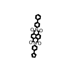 O=C1c2ccc3c4c(ccc(c24)C(=O)N1c1ccc(C2=CCC=C2)cc1)C(=O)N(c1ccc(-c2ccccc2)cc1)C3=O